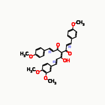 COc1ccc(/C=C/C(=O)C(C(=O)/C=C/c2ccc(OC)cc2)=C(O)/C=C/c2ccc(OC)c(OC)c2)cc1